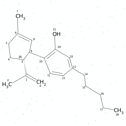 C=C(C)[C@@H]1CCC(C)=CC1c1ccc(CCCCC)cc1O